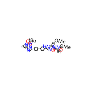 COC[C@H]1C[C@@H](c2ncc(-c3ccc(-c4ccc(-c5cnc([C@@H]6C[C@H](C)CN6C(=O)OC(C)(C)C)[nH]5)cc4)cc3)[nH]2)N(C(=O)[C@@H](NC(=O)OC)C(C)C)C1